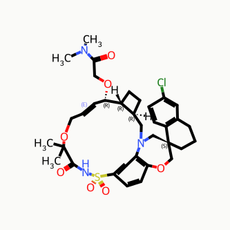 CN(C)C(=O)CO[C@H]1/C=C/COC(C)(C)C(=O)NS(=O)(=O)c2ccc3c(c2)N(C[C@@H]2CC[C@H]21)C[C@@]1(CCCc2cc(Cl)ccc21)CO3